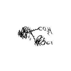 CCCCCCCCC(CC)OC(=O)CCCCCCCN(CCCCCCCC(=O)O)CCCN/C(=N\O)c1nonc1N